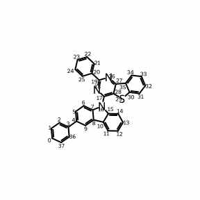 c1ccc(-c2ccc3c(c2)c2ccccc2n3-c2nc(-c3ccccc3)nc3c2sc2ccccc23)cc1